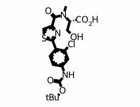 CN(C(=O)c1csc(-c2ccc(NC(=O)OC(C)(C)C)cc2Cl)n1)[C@@H](CO)C(=O)O